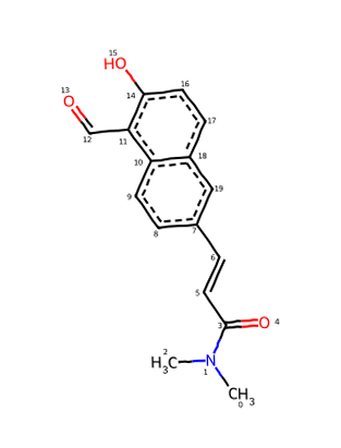 CN(C)C(=O)/C=C/c1ccc2c(C=O)c(O)ccc2c1